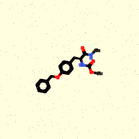 CC(C)(C)NC(=O)[C@H](Cc1ccc(OCc2ccccc2)cc1)NC(=O)OC(C)(C)C